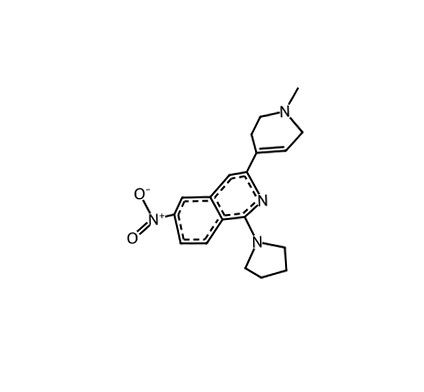 CN1CC=C(c2cc3cc([N+](=O)[O-])ccc3c(N3CCCC3)n2)CC1